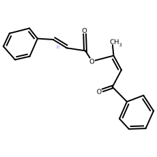 CC(=CC(=O)c1ccccc1)OC(=O)/C=C/c1ccccc1